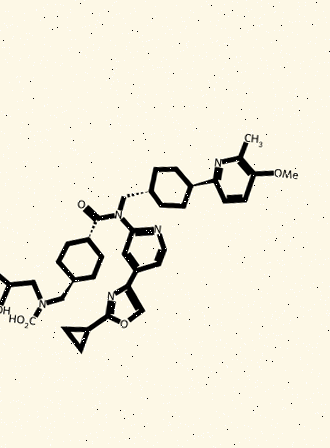 CCC(O)CN(C[C@H]1CC[C@H](C(=O)N(C[C@H]2CC[C@H](c3ccc(OC)c(C)n3)CC2)c2cc(-c3coc(C4CC4)n3)ccn2)CC1)C(=O)O